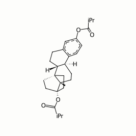 CC(C)C(=O)Oc1ccc2c(c1)CC[C@@H]1[C@@H]2CC[C@]2(C)[C@]3(OC(=O)C(C)C)CC[C@@]12CC3